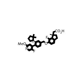 COc1cc(-c2ccc(COc3ccc4c(c3F)[C@](C)(CC(=O)O)CC4)cc2[C@H]2CCCC2(C)C)c(F)cn1